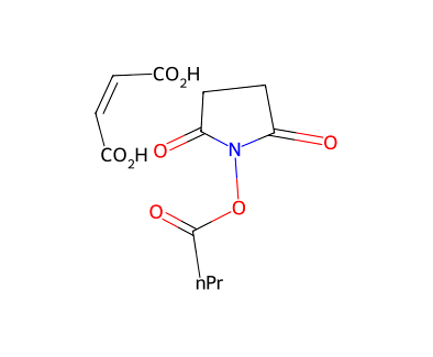 CCCC(=O)ON1C(=O)CCC1=O.O=C(O)/C=C\C(=O)O